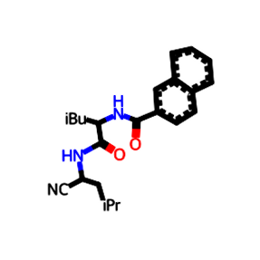 CCC(C)C(NC(=O)c1ccc2ccccc2c1)C(=O)NC(C#N)CC(C)C